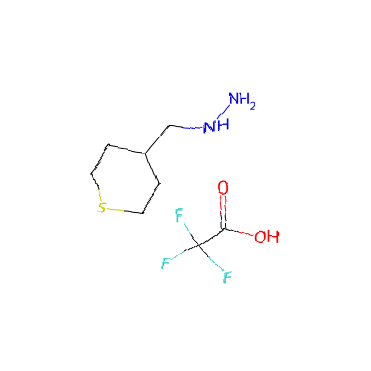 NNCC1CCSCC1.O=C(O)C(F)(F)F